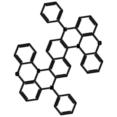 c1ccc(N2c3cccc4c3B(c3ccccc3O4)c3c2ccc2c4c(ccc32)N(c2ccccc2)c2cccc3c2B4c2ccccc2O3)cc1